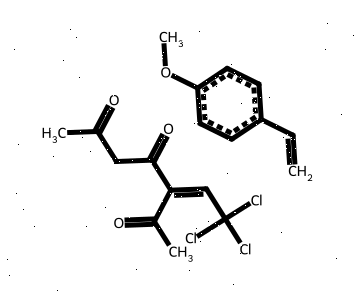 C=Cc1ccc(OC)cc1.CC(=O)CC(=O)C(=CC(Cl)(Cl)Cl)C(C)=O